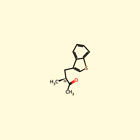 CC(=O)[C@@H](C)Cc1csc2ccccc12